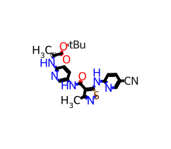 Cc1nsc(Nc2ccc(C#N)cn2)c1C(=O)Nc1ccc(N[C@@H](C)C(=O)OC(C)(C)C)nc1